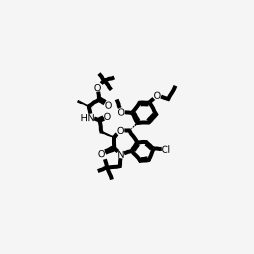 CCOc1ccc([C@H]2O[C@H](CC(=O)N[C@@H](C)C(=O)OC(C)(C)C)C(=O)N(CC(C)(C)C)c3ccc(Cl)cc32)c(OC)c1